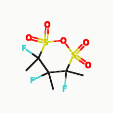 CC1(F)C(C)(F)S(=O)(=O)OS(=O)(=O)C1(C)F